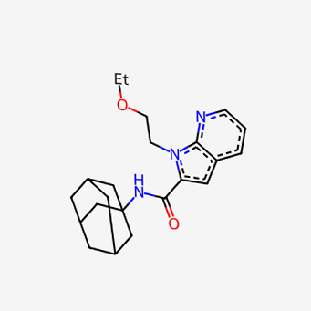 CCOCCn1c(C(=O)NC23CC4CC(CC(C4)C2)C3)cc2cccnc21